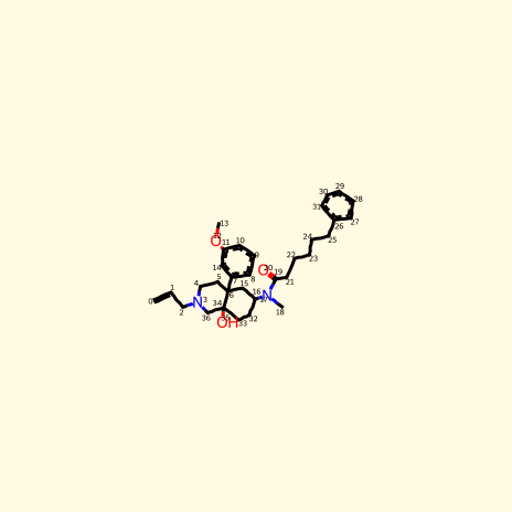 C=CCN1CCC2(c3cccc(OC)c3)CC(N(C)C(=O)CCCCCc3ccccc3)CCC2(O)C1